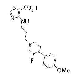 COc1ccc(-c2ccc(CCCNc3ncsc3C(=O)O)cc2F)cc1